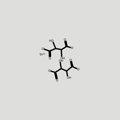 O=C([O-])C(O)C(O)C(=O)[O-].O=C([O-])C(O)C(O)C(=O)[O-].[Sn+4]